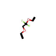 C=COCC(F)(F)OC=C